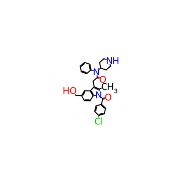 Cc1c(CC(=O)N(c2ccccc2)C2CCNCC2)c2cc(CO)ccc2n1C(=O)c1ccc(Cl)cc1